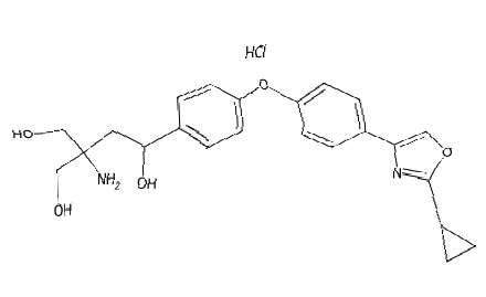 Cl.NC(CO)(CO)CC(O)c1ccc(Oc2ccc(-c3coc(C4CC4)n3)cc2)cc1